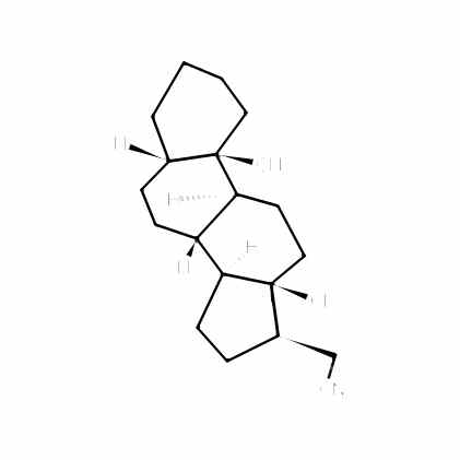 C[C@]12CCCC[C@H]1CC[C@@H]1[C@@H]2CC[C@]2(C)[C@@H](CC#N)CC[C@@H]12